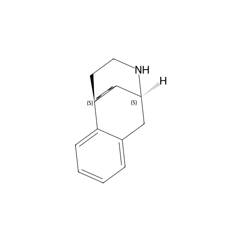 c1ccc2c(c1)C[C@@H]1NCC[C@]23CCCCC13